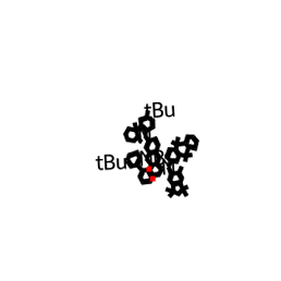 Cc1cc2c3c(c1)N(c1ccc(C(C)(C)C)cc1-c1ccccc1)c1cc(N4c5ccc(C(C)(C)C)cc5C5(C)CCCCC45C)ccc1B3c1cc3c(cc1N2c1cc2c(cc1C)C(C)(C)CC2(C)C)C(C)(C)c1ccccc1C3(C)C